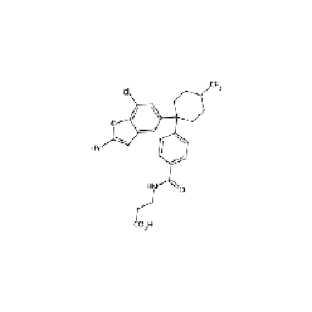 CCCc1cc2cc(C3(c4ccc(C(=O)NCCC(=O)O)cc4)CCC(C(F)(F)F)CC3)cc(Cl)c2o1